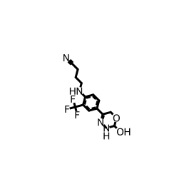 N#CCCCNc1ccc(C2=NNC(O)OC2)cc1C(F)(F)F